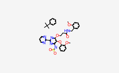 CC(C)(C)c1ccccc1.COc1ccccc1CNC(=O)CCOc1nc(-c2ncccn2)nc(N=S(=O)=O)c1Oc1ccccc1OC